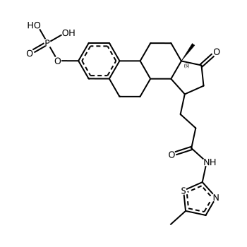 Cc1cnc(NC(=O)CCC2CC(=O)[C@@]3(C)CCC4c5ccc(OP(=O)(O)O)cc5CCC4C23)s1